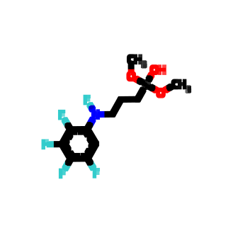 CO[Si](O)(CCCN(F)c1cc(F)c(F)c(F)c1F)OC